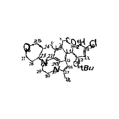 Cc1c(CC(=O)O)c(-c2ccc(Cl)cc2OC(C)(C)C)c2cc(C)n3c2c1N(C1CCOCC1)CC3